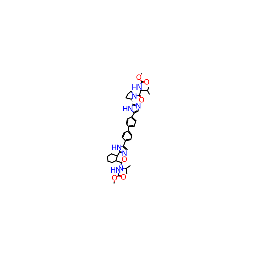 COC(=O)N[C@H](C(=O)N1CCC[C@H]1c1ncc(-c2ccc(-c3ccc(-c4cnc(C5CCCCC5C(=O)N(NC(=O)OC)C(C)C)[nH]4)cc3)cc2)[nH]1)C(C)C